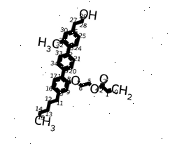 C=CC(=O)OCCOc1cc(CCCCC)ccc1-c1ccc(-c2ccc(CCO)cc2C)cc1